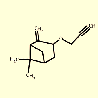 C#CCOC1CC2CC(C1=C)C2(C)C